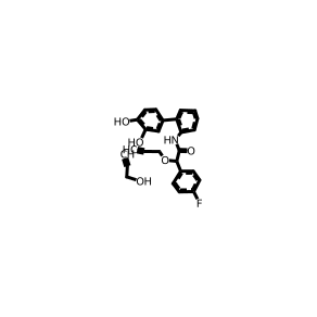 C#CCO.C#CCOC(C(=O)Nc1ccccc1-c1ccc(O)c(O)c1)c1ccc(F)cc1